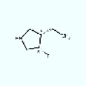 CC[C@H]1CNC[C@H]1F